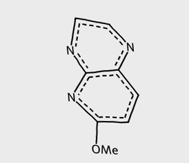 COc1ccc2nccnc2n1